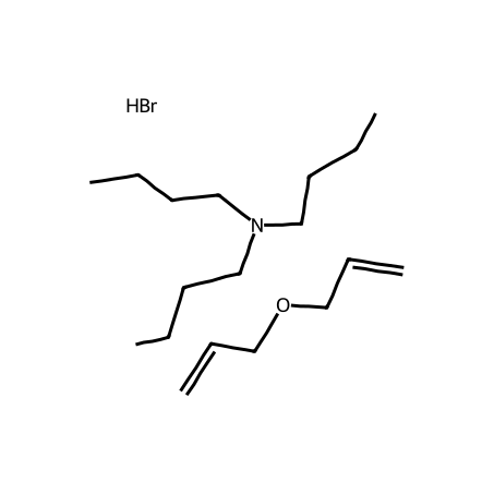 Br.C=CCOCC=C.CCCCN(CCCC)CCCC